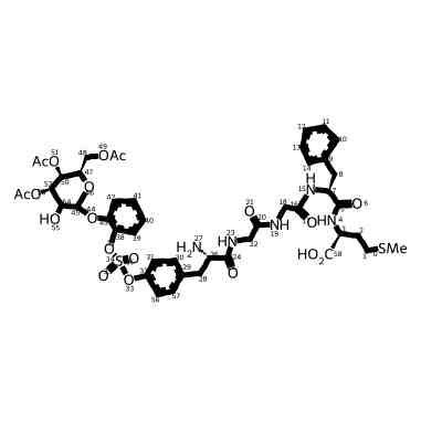 CSCC[C@H](NC(=O)[C@H](Cc1ccccc1)NC(=O)CNC(=O)CNC(=O)[C@@H](N)Cc1ccc(OS(=O)(=O)Oc2ccccc2OC2O[C@H](COC(C)=O)[C@H](OC(C)=O)[C@H](OC(C)=O)C2O)cc1)C(=O)O